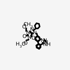 COCCn1c(=O)c2c(nc(C3CCCCC3)n2Cc2ccc(-c3ccccc3-c3nnn[nH]3)cc2)n(CCOC)c1=O